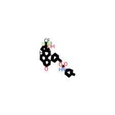 Cc1ccc(NC(=O)OCc2ccc([C@H]3CC4(C)C(CC[C@@]4(O)C(F)(F)C(F)(F)F)[C@@H]4CCC5=CC(=O)CCC5=C43)cc2)cc1